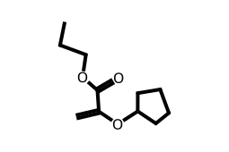 C=C(OC1CCCC1)C(=O)OCCC